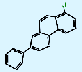 Clc1cccc2c1ccc1cc(-c3ccccc3)ccc12